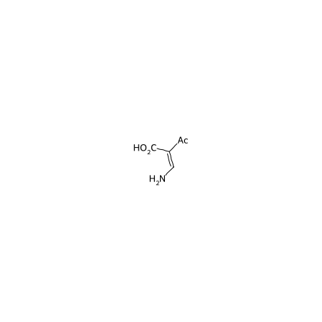 CC(=O)C(=CN)C(=O)O